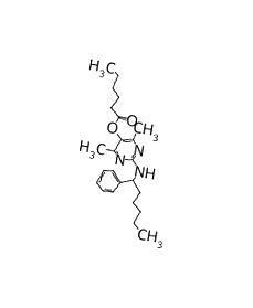 CCCCCC(=O)Oc1c(C)nc(NC(CCCCC)c2ccccc2)nc1C